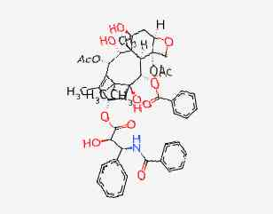 CC(=O)O[C@H]1C2=C(C)[C@@H](OC(=O)[C@H](O)[C@@H](NC(=O)c3ccccc3)c3ccccc3)C[C@@](O)([C@@H](OC(=O)c3ccccc3)[C@@H]3[C@]4(OC(C)=O)CO[C@@H]4C[C@H](O)[C@@]3(C)[C@H]1O)C2(C)C